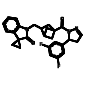 O=C(N1N=CCC1c1cc(F)cc(F)c1)C12CC(CN3C(=O)C4(CC4)c4ccccc43)C(C1)C2